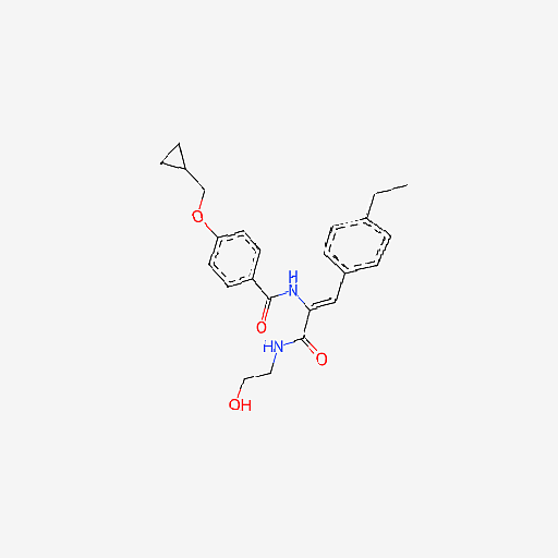 CCc1ccc(/C=C(\NC(=O)c2ccc(OCC3CC3)cc2)C(=O)NCCO)cc1